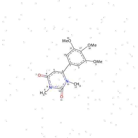 COc1cc(-c2cc(=O)n(C)c(=O)n2C)cc(OC)c1OC